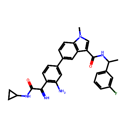 CC(NC(=O)c1cn(C)c2ccc(-c3ccc(C(=N)C(=O)NC4CC4)c(N)c3)cc12)c1cccc(F)c1